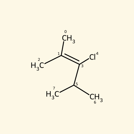 CC(C)=C(Cl)C(C)C